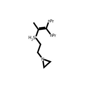 CCCC(CCC)=C(C)[SiH2]CCN1CC1